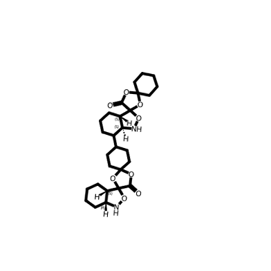 O=C1OC2(CCC(C3CCC[C@H]4[C@H]3NOC43OC4(CCCCC4)OC3=O)CC2)OC12ON[C@@H]1CCCC[C@@H]12